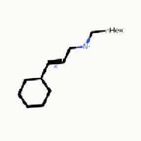 CCCCCCC[N]C/C=C/C1CCCCC1